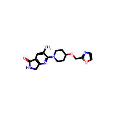 Cc1cc2c(nc1N1CCC(OCc3ncco3)CC1)CNC2=O